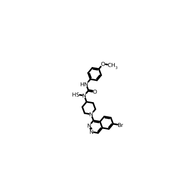 COc1ccc(NC(=O)N(S)C2CCN(c3nncc4cc(Br)ccc34)CC2)cc1